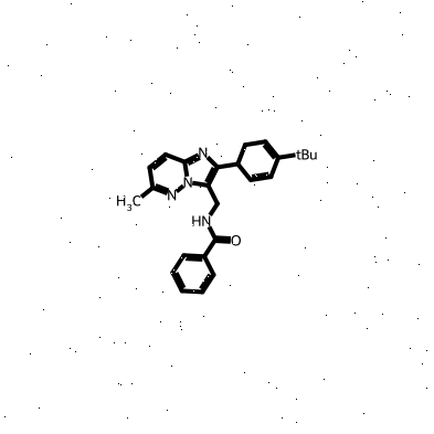 Cc1ccc2nc(C3C=CC(C(C)(C)C)=CC3)c(CNC(=O)c3ccccc3)n2n1